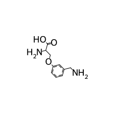 NCc1cccc(OCC(N)C(=O)O)c1